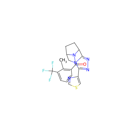 Cc1c(C(=O)N2C3CCC2c2nnc(-c4cscn4)n2C3)cccc1C(F)(F)F